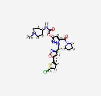 CC(C)N1CCC(NC(=O)Oc2cc(C(=O)N3CCCC3)n(Cc3cc(-c4ccc(Cl)s4)on3)n2)CC1